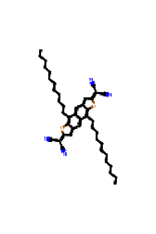 CCCCCCCCCCCCc1c2cc3cc(=C(C#N)C#N)sc3c(CCCCCCCCCCCC)c2cc2cc(=C(C#N)C#N)sc12